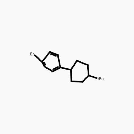 CC(C)(C)C1CCC(c2ccc(Br)cc2)CC1